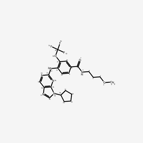 COCCCNC(=O)c1ccc(Nc2ncc3ncn(C4CCCC4)c3n2)c(OC(F)(F)F)c1